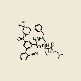 CC[C@H](NC[C@H](Cc1ccccc1)NC(=O)c1cc(C(=O)N2CCCC(F)(F)C2)cc(-c2ccccc2C#N)c1)C(=O)NCC(C)C